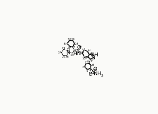 NS(=O)(=O)c1cccc(-c2n[nH]c3ccc(NC(=O)C(CN4CCCCC4)c4ccccc4)cc23)c1